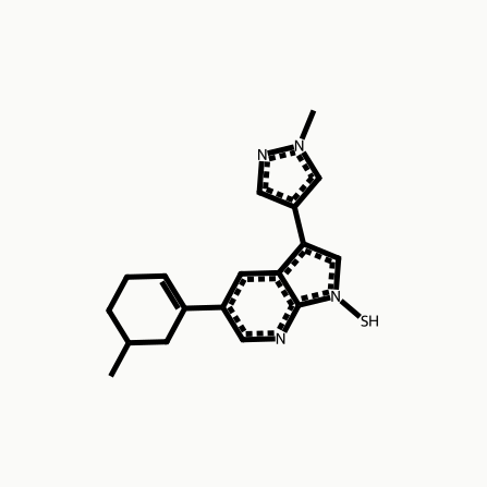 CC1CCC=C(c2cnc3c(c2)c(-c2cnn(C)c2)cn3S)C1